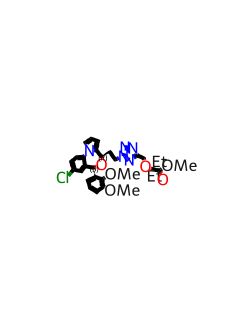 CCC(CC)(OCc1nnn(CC[C@H]2O[C@H](c3cccc(OC)c3OC)c3cc(Cl)ccc3-n3cccc32)n1)C(=O)OC